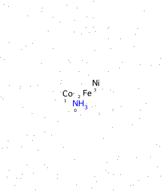 N.[Co].[Fe].[Ni]